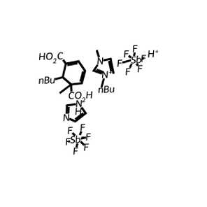 CCCCC1C(C(=O)O)=CC=CC1(C)C(=O)O.CCCC[n+]1ccn(C)c1.[F][Sb-]([F])([F])([F])([F])[F].[F][Sb-]([F])([F])([F])([F])[F].[H+].c1c[nH]cn1